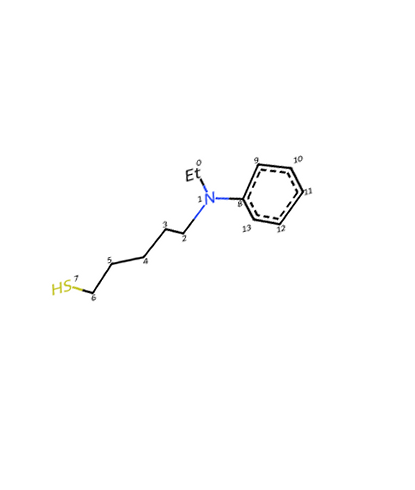 CCN(CCCCCS)c1ccccc1